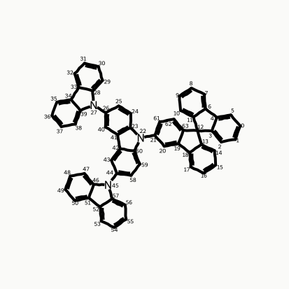 c1ccc2c(c1)-c1ccccc1C21c2ccccc2-c2cc(-n3c4ccc(-n5c6ccccc6c6ccccc65)cc4c4cc(-n5c6ccccc6c6ccccc65)ccc43)ccc21